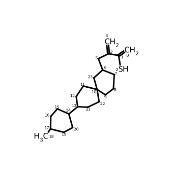 C=C(S)C(=C)CC1CCCC2(CCC(C3CCC(C)CC3)CC2)C1